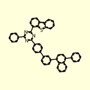 c1ccc(-c2nc(-c3ccc(-c4cccc(-c5ccc(-c6ccccc6)c6ccccc56)c4)cc3)nc(-c3cccc4c3sc3ccccc34)n2)cc1